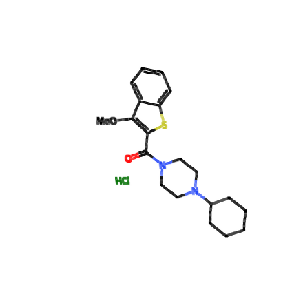 COc1c(C(=O)N2CCN(C3CCCCC3)CC2)sc2ccccc12.Cl